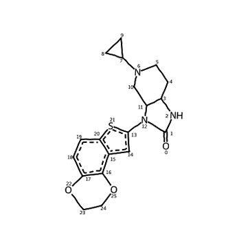 O=C1NC2CCN(C3CC3)CC2N1c1cc2c3c(ccc2s1)OCCO3